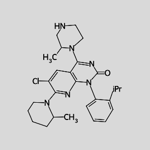 CC(C)c1ccccc1-n1c(=O)nc(N2CCNCC2C)c2cc(Cl)c(N3CCCCC3C)nc21